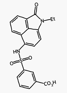 CCN1C(=O)c2cccc3c(NS(=O)(=O)c4cccc(C(=O)O)c4)ccc1c23